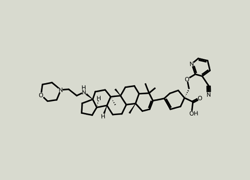 CC1(C)C(C2=CC[C@](COc3ncccc3C#N)(C(=O)O)CC2)=CC[C@@]2(C)C1CC[C@]1(C)C2CC[C@@H]2[C@H]3CCC[C@]3(NCCN3CCOCC3)CC[C@]21C